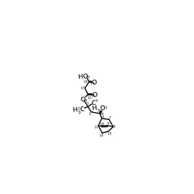 CC(C)(CC(=O)C1CC2C=CC1CC2)OC(=O)CC(=O)O